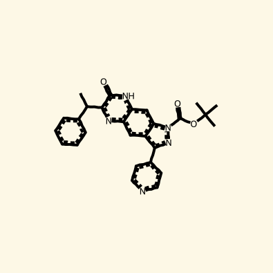 CC(c1ccccc1)c1nc2cc3c(-c4ccncc4)nn(C(=O)OC(C)(C)C)c3cc2[nH]c1=O